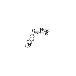 CCS(=O)(=O)c1ccc(CNC(=O)c2ccc3c(c2)cc(CN2CCCC[C@H]2C)n3C2CC2)nc1